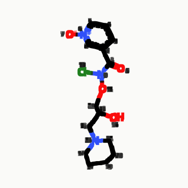 O=C(c1ccc[n+]([O-])c1)N(Cl)OCC(O)CN1CCCCC1